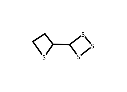 C1CC(C2SSS2)S1